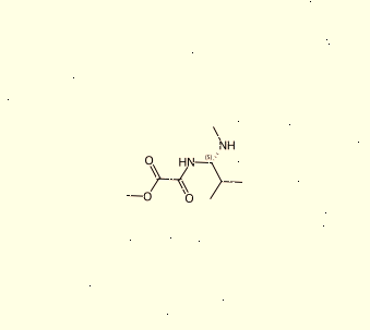 CN[C@@H](NC(=O)C(=O)OC)C(C)C